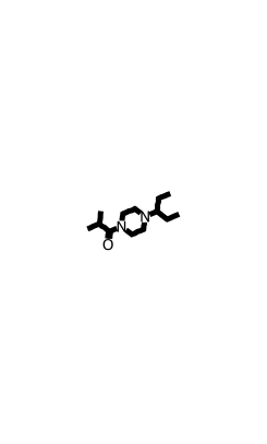 CCC(CC)N1CCN(C(=O)C(C)C)CC1